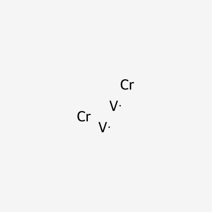 [Cr].[Cr].[V].[V]